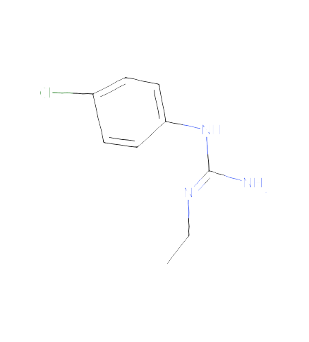 CCN=C(N)Nc1ccc(Cl)cc1